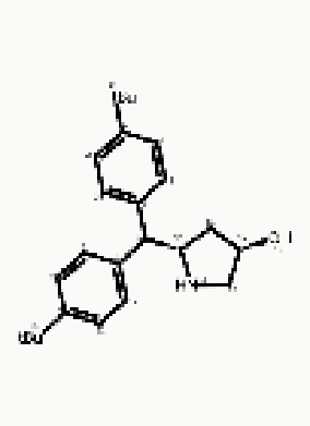 CC(C)(C)c1ccc(C(c2ccc(C(C)(C)C)cc2)[C@H]2C[C@@H](O)CN2)cc1